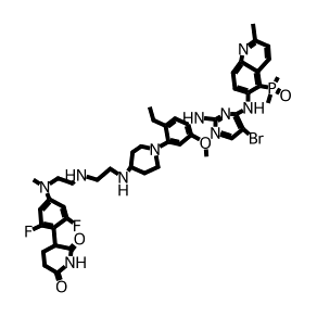 CCc1cc(Nc2ncc(Br)c(Nc3ccc4nc(C)ccc4c3P(C)(C)=O)n2)c(OC)cc1N1CCC(NCCNCCN(C)c2cc(F)c(C3CCC(=O)NC3=O)c(F)c2)CC1